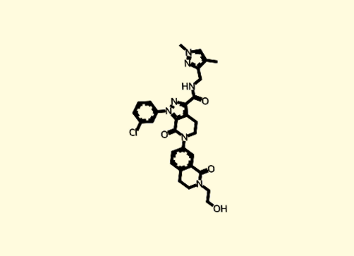 Cc1cn(C)nc1CNC(=O)c1nn(-c2cccc(Cl)c2)c2c1CCN(c1ccc3c(c1)C(=O)N(CCO)CC3)C2=O